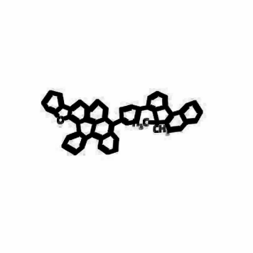 CC1(C)c2ccc3ccccc3c2-c2cccc(-c3ccc(-c4c5ccccc5c(-c5ccccc5-c5cccc6c5oc5ccccc56)c5ccccc45)cc3)c21